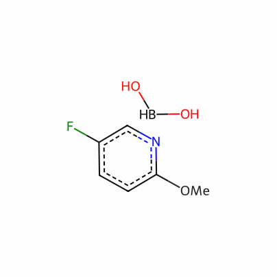 COc1ccc(F)cn1.OBO